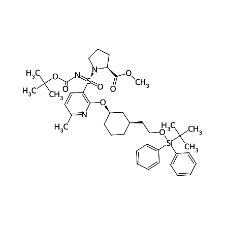 COC(=O)[C@@H]1CCCN1[S@](=O)(=NC(=O)OC(C)(C)C)c1ccc(C)nc1O[C@@H]1CCC[C@H](CCO[Si](c2ccccc2)(c2ccccc2)C(C)(C)C)C1